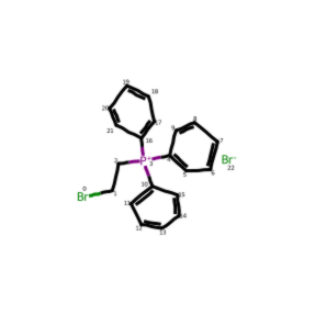 BrCC[P+](c1ccccc1)(c1ccccc1)c1ccccc1.[Br-]